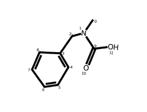 CN([CH]c1ccccc1)C(=O)O